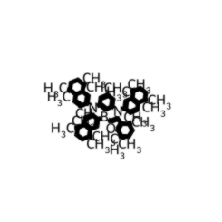 CC1=CC2C(C=C1N1c3cc4c(cc3B3c5oc6c(c5N(c5ccc7c(c5)C(C)(C)CCC7(C)C)c5cc(C)cc1c53)C(C)(C)CCC6(C)C)C(C)(C)CCC4(C)C)C(C)(C)CCC2(C)C